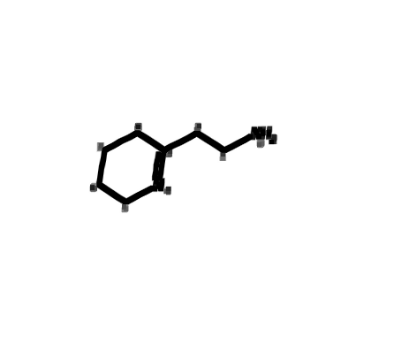 NCCC1=NCCCC1